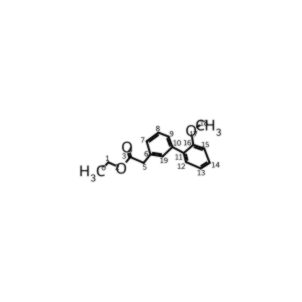 CCOC(=O)Cc1cccc(-c2ccccc2OC)c1